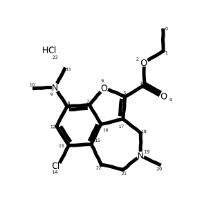 CCOC(=O)c1oc2c(N(C)C)cc(Cl)c3c2c1CN(C)CC3.Cl